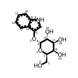 OC[C@H]1O[C@H](Oc2c[nH]c3ccccc23)[C@H](O)[C@@H](O)[C@H]1O